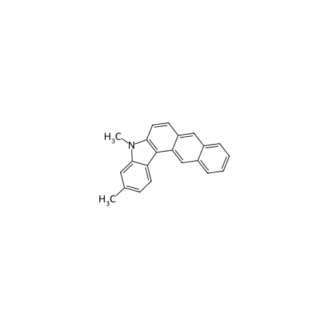 Cc1ccc2c3c4cc5ccccc5cc4ccc3n(C)c2c1